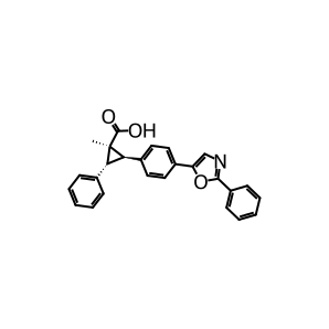 C[C@@]1(C(=O)O)[C@@H](c2ccccc2)[C@@H]1c1ccc(-c2cnc(-c3ccccc3)o2)cc1